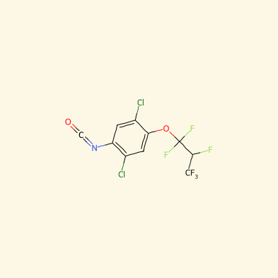 O=C=Nc1cc(Cl)c(OC(F)(F)C(F)C(F)(F)F)cc1Cl